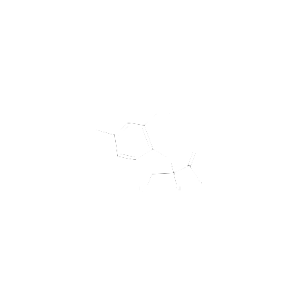 CCC(N)(Oc1ccc(Cl)cc1C)C(N)=O